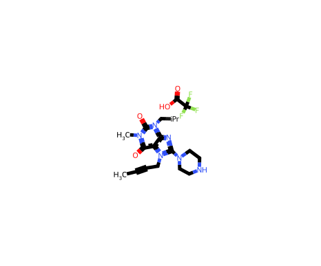 CC#CCn1c(N2CCNCC2)nc2c1c(=O)n(C)c(=O)n2CC(C)C.O=C(O)C(F)(F)F